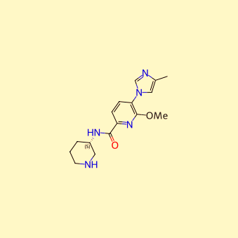 COc1nc(C(=O)N[C@H]2CCCNC2)ccc1-n1cnc(C)c1